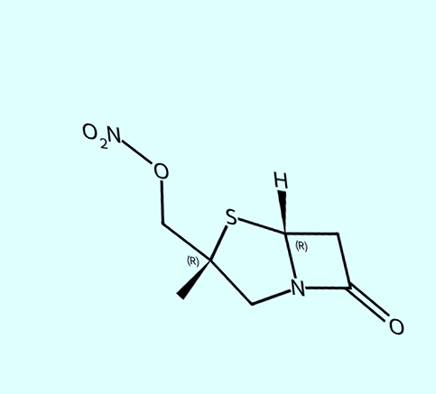 C[C@]1(CO[N+](=O)[O-])CN2C(=O)C[C@H]2S1